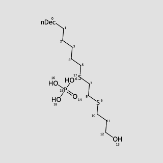 CCCCCCCCCCCCCCCSCCSCCCO.O=P(O)(O)O